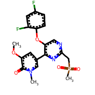 COc1cc(-c2nc(CS(C)(=O)=O)ncc2Oc2ccc(F)cc2F)cn(C)c1=O